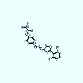 Fc1cccc(F)c1C1=NC(CCOc2ccc(OC(F)C(F)F)cc2)CO1